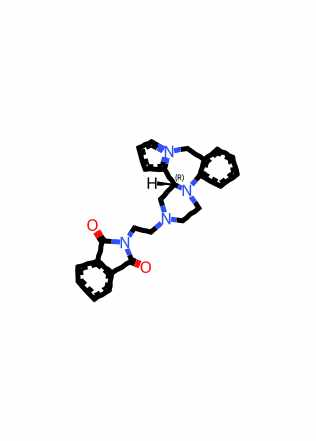 O=C1c2ccccc2C(=O)N1CCN1CCN2c3ccccc3Cn3cccc3[C@H]2C1